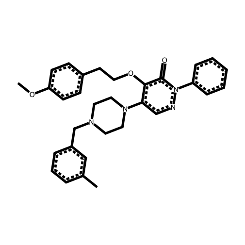 COc1ccc(CCOc2c(N3CCN(Cc4cccc(C)c4)CC3)cnn(-c3ccccc3)c2=O)cc1